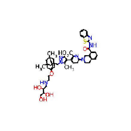 Cc1c(-c2ccc(N3CCc4cccc(C(=O)Nc5nc6ccccc6s5)c4C3)nc2C(=O)O)cnn1CC12CC3(C)CC(C)(C1)CC(OCCNCC(O)C(O)CO)(C3)C2